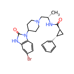 C[C@@H](CN1CCC(n2c(=O)[nH]c3cc(Br)ccc32)CC1)NC(=O)[C@H]1C[C@@H]1c1ccccc1